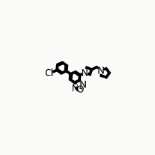 Clc1cccc(-c2cc(N3CC(CN4CCCC4)C3)c3nonc3c2)c1